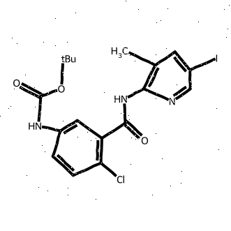 Cc1cc(I)cnc1NC(=O)c1cc(NC(=O)OC(C)(C)C)ccc1Cl